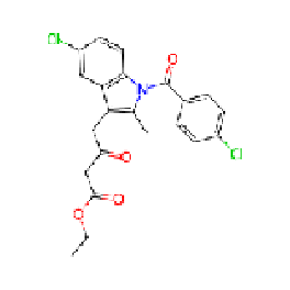 CCOC(=O)CC(=O)Cc1c(C)n(C(=O)c2ccc(Cl)cc2)c2ccc(Cl)cc12